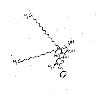 CCCCCCCCCCCCCCCCCCN(C(=O)CCCCCCCCCCCCC)[C@@H]1O[C@H](CO)[C@@H](O)[C@H](O)[C@H]1NC(=O)CN(C)C(=O)OCc1ccccc1